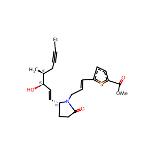 CCC#CC[C@H](C)[C@H](O)C=C[C@H]1CCC(=O)N1CC=Cc1ccc(C(=O)OC)s1